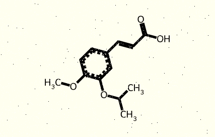 COc1ccc(/C=C/C(=O)O)cc1OC(C)C